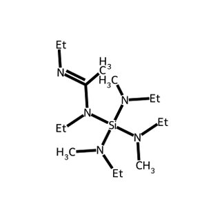 CC/N=C(\C)N(CC)[Si](N(C)CC)(N(C)CC)N(C)CC